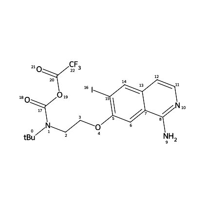 CC(C)(C)N(CCOc1cc2c(N)nccc2cc1I)C(=O)OC(=O)C(F)(F)F